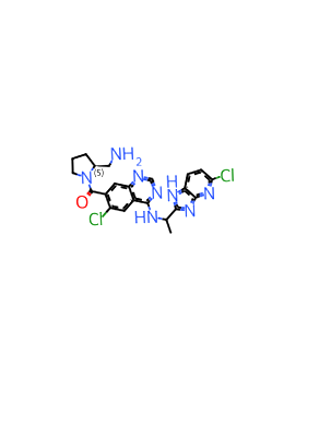 CC(Nc1ncnc2cc(C(=O)N3CCC[C@H]3CN)c(Cl)cc12)c1nc2nc(Cl)ccc2[nH]1